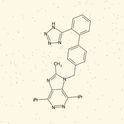 Cc1nc2c(C(C)C)nnc(C(C)C)c2n1Cc1ccc(-c2ccccc2-c2nnn[nH]2)cc1